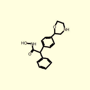 O=C(NO)C(c1ccccc1)c1ccc(C2CNCCO2)cc1